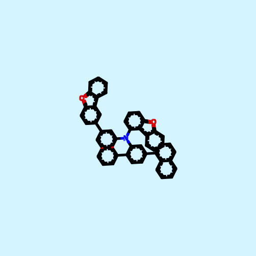 c1ccc(-c2ccc(-c3cccc4ccccc34)cc2N(c2cccc(-c3ccc4oc5ccccc5c4c3)c2)c2cccc3oc4ccccc4c23)cc1